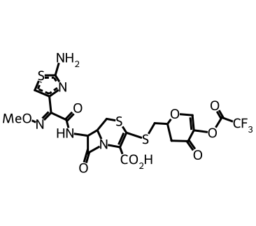 CON=C(C(=O)NC1C(=O)N2C(C(=O)O)=C(SCC3CC(=O)C(OC(=O)C(F)(F)F)=CO3)SCC12)c1csc(N)n1